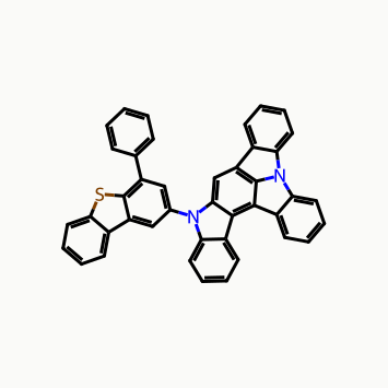 c1ccc(-c2cc(-n3c4ccccc4c4c5c6ccccc6n6c7ccccc7c(cc43)c56)cc3c2sc2ccccc23)cc1